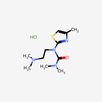 Cc1csc(N(CCN(C)C)C(=O)N(C)C)n1.Cl